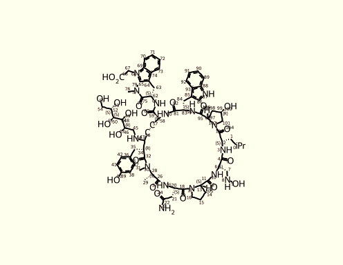 CC(C)C[C@@H]1NC(=O)[C@H](CNO)NC(=O)[C@@H]2CCCN2C(=O)[C@H](CC(N)=O)NC(=O)[C@H](C)N(C)C(=O)[C@H](Cc2ccc(O)cc2)C(NC[C@@H](O)[C@H](O)[C@@H](O)[C@@H](O)CO)CC[C@@H](C(=O)N[C@@H](Cc2cn(CC(=O)O)c3ccccc23)C(=O)N(C)C)NC(=O)[C@H](Cc2c[nH]c3ccccc23)NC(=O)[C@@H]2C[C@@H](O)CN2C1=O